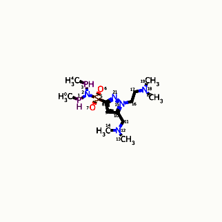 CPN(PC)S(=O)(=O)c1cc(CN(C)C)n(CCN(C)C)n1